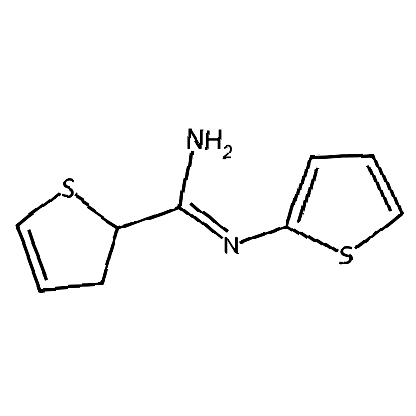 NC(=Nc1cccs1)C1CC=CS1